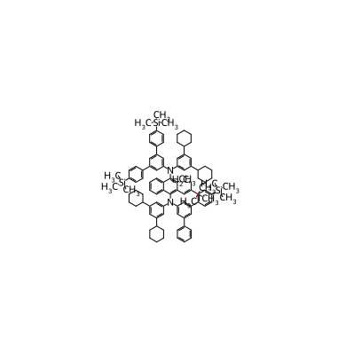 C=C/C(=C\c1c(C)c(N(c2cc(-c3ccc([Si](C)(C)C)cc3)cc(-c3ccc([Si](C)(C)C)cc3)c2)c2cc(C3CCCCC3)cc(C3CCCCC3)c2)c2ccccc2c1N(c1cc(-c2ccccc2)cc(-c2ccc([Si](C)(C)C)cc2)c1)c1cc(C2CCCCC2)cc(C2CCCCC2)c1)C(C)(C)C